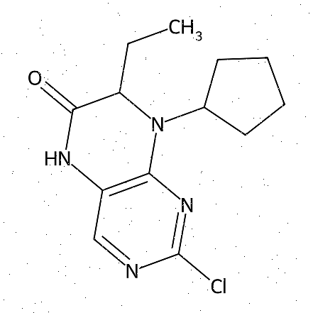 CCC1C(=O)Nc2cnc(Cl)nc2N1C1CCCC1